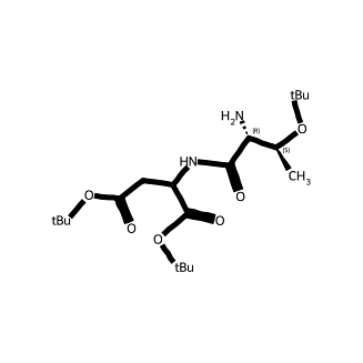 C[C@H](OC(C)(C)C)[C@@H](N)C(=O)NC(CC(=O)OC(C)(C)C)C(=O)OC(C)(C)C